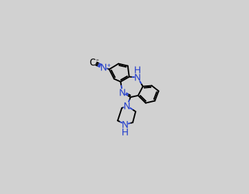 [C-]#[N+]c1ccc2c(c1)N=C(N1CCNCC1)c1ccccc1N2